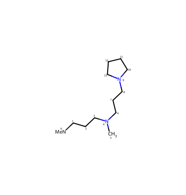 CNCCCN(C)CCCN1CCCC1